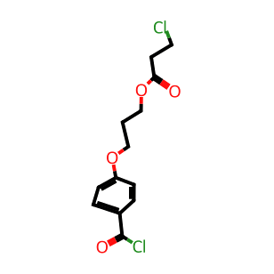 O=C(CCCl)OCCCOc1ccc(C(=O)Cl)cc1